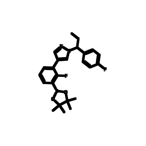 CCC(c1ccc(F)cc1)n1cc(-c2cccc(B3OC(C)(C)C(C)(C)O3)c2F)cn1